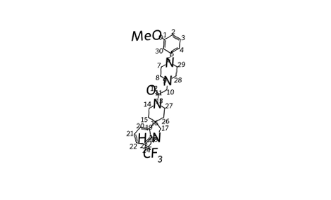 COc1cccc(N2CCN(CC(=O)N3CCC(CN)(c4cccc(C(F)(F)F)c4)CC3)CC2)c1